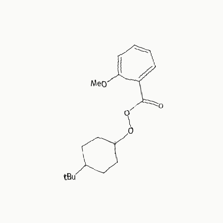 COc1ccccc1C(=O)OO[C]1CCC(C(C)(C)C)CC1